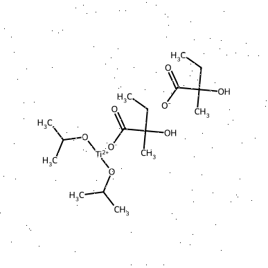 CC(C)[O][Ti+2][O]C(C)C.CCC(C)(O)C(=O)[O-].CCC(C)(O)C(=O)[O-]